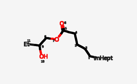 CCCCCCCCCCCC(=O)OCC(O)CC